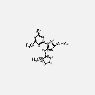 CC(=O)Nc1nc(-c2cc(Br)cc(C(F)(F)F)c2)c(CN2CCC[C@H]2C)s1